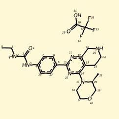 CCNC(=O)Nc1ccc(-c2nc3c(c(N4CCOC[C@@H]4C)n2)CCNC3)cc1.O=C(O)C(F)(F)F